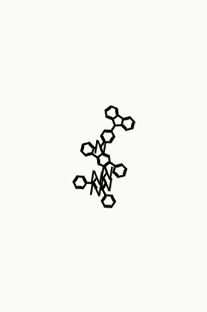 c1ccc(-c2nc(-c3ccccc3)nc(-n3c4ccccc4c4cc5c(cc43)c3ccccc3n5-c3ccc(C4c5ccccc5-c5ccccc54)cc3)n2)cc1